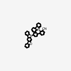 N#Cc1cccc(-c2ccc(-n3c4ccccc4c4cc5c(cc43)oc3ccccc35)cc2)c1-n1c2ccccc2c2ccccc21